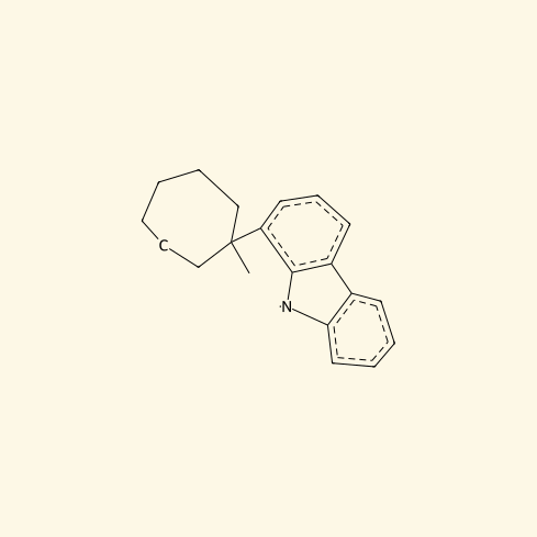 CC1(c2cccc3c2[N]c2ccccc2-3)CCCCCC1